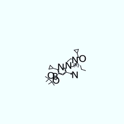 CCC[C@@H]1CN(c2nc(C3CC3)c(B3OC(C)(C)C(C)(C)O3)cc2C#N)CCN1C(=O)C1CC1